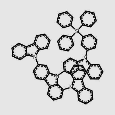 c1ccc([Si](c2ccccc2)(c2ccccc2)c2cccc(-n3c4ccccc4c4cc(-n5c6cc(-n7c8ccccc8c8ccccc87)ccc6c6cccc(-n7c8ccccc8c8ccccc87)c65)ccc43)c2)cc1